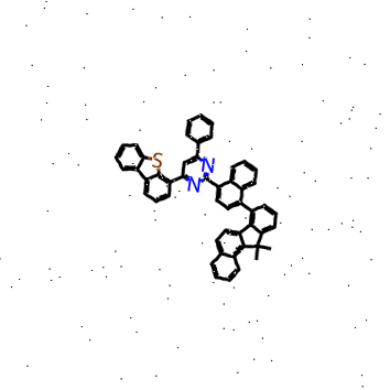 CC1(C)c2cccc(-c3ccc(-c4nc(-c5ccccc5)cc(-c5cccc6c5sc5ccccc56)n4)c4ccccc34)c2-c2ccc3ccccc3c21